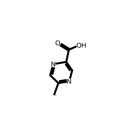 [CH2]c1cnc(C(=O)O)cn1